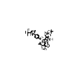 COc1ncnc(C2CC2)c1-c1nc(OCc2ccc(-c3nc(C(F)(F)F)cn3C)cc2)c2c(CN(C)C(=O)OC(C)(C)C)c[nH]c2n1